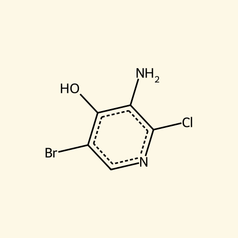 Nc1c(Cl)ncc(Br)c1O